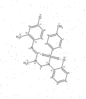 Cc1ccc(S(=O)(=O)N(SN(C)/C=N/c2ccc(Cl)cc2C)c2ccccc2Cl)cc1